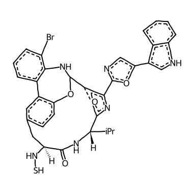 CC(C)[C@@H]1NC(=O)[C@@H](NS)Cc2ccc3c(c2)-c2cccc(Br)c2NC(O3)c2oc1nc2-c1ncc(-c2c[nH]c3ccccc23)o1